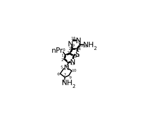 CCCc1cc(N2CCC(N)CC2)nc2sc3c(N)ncnc3c12